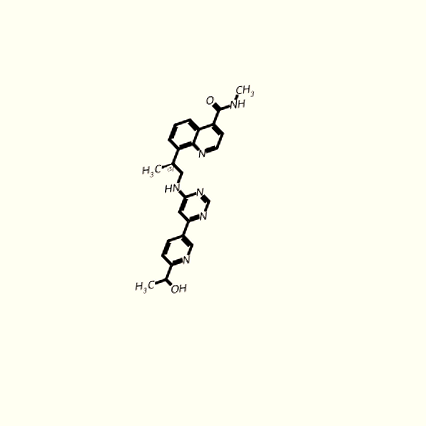 CNC(=O)c1ccnc2c([C@H](C)CNc3cc(-c4ccc(C(C)O)nc4)ncn3)cccc12